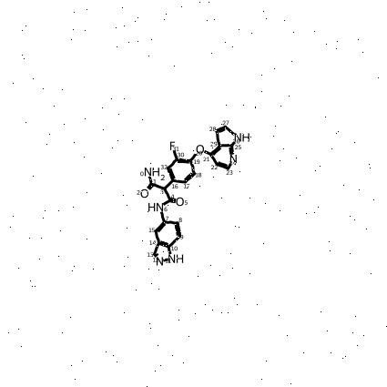 NC(=O)C(C(=O)Nc1ccc2[nH]ncc2c1)c1ccc(Oc2ccnc3[nH]ccc23)c(F)c1